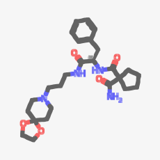 NC(=O)C1(C(=O)N[C@H](Cc2ccccc2)C(=O)NCCCN2CCC3(CC2)OCCO3)CCCC1